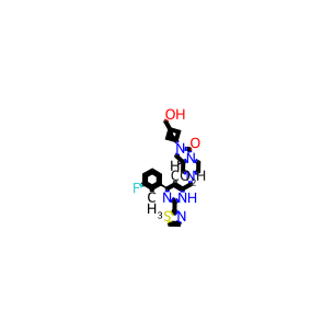 Cc1c(F)cccc1[C@@H]1N=C(c2nccs2)NC(CN2CCN3C(=O)N(C45CC(CO)(C4)C5)C[C@@H]3C2)=C1C(=O)O